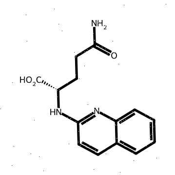 NC(=O)CC[C@H](Nc1ccc2ccccc2n1)C(=O)O